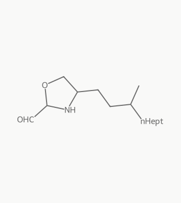 CCCCCCCC(C)CCC1COC(C=O)N1